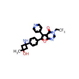 CC1(O)CC(N)(c2ccc(-c3oc4ncn(CC(F)(F)F)c(=O)c4c3-c3ccncc3)cc2)C1